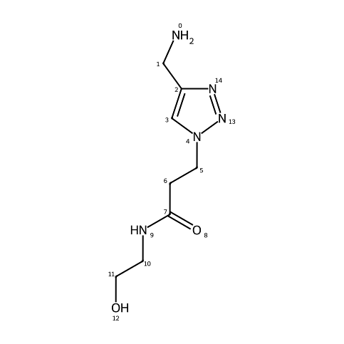 NCc1cn(CCC(=O)NCCO)nn1